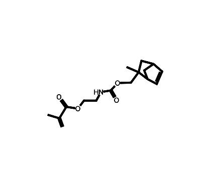 C=C(C)C(=O)OCCNC(=O)OCC1(C)CC2C=CC1C2